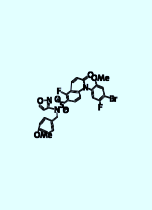 COc1ccc(CN(c2ccon2)S(=O)(=O)c2ccc3c(ccc(=O)n3-c3cc(F)c(Br)cc3OC)c2F)cc1